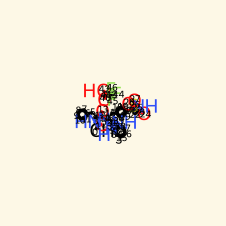 CC(=O)N[C@@H](Cc1ccccc1)C(=O)N[C@@H](Cc1ccc(C2=CC(=O)NS2(=O)=O)cc1)c1nc2ccccc2[nH]1.O=C(O)C(F)(F)F